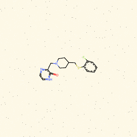 O=c1[nH]ccnc1CN1CCC(CSc2ccccc2F)CC1